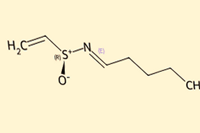 C=C[S@+]([O-])/N=C/CCCC